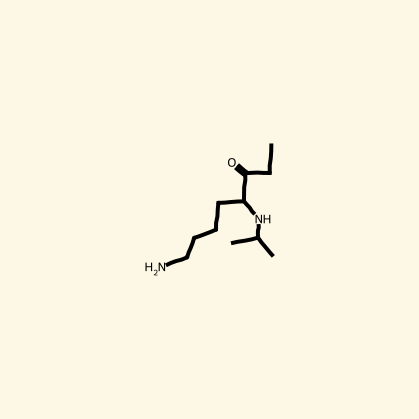 CCC(=O)C(CCCCN)NC(C)C